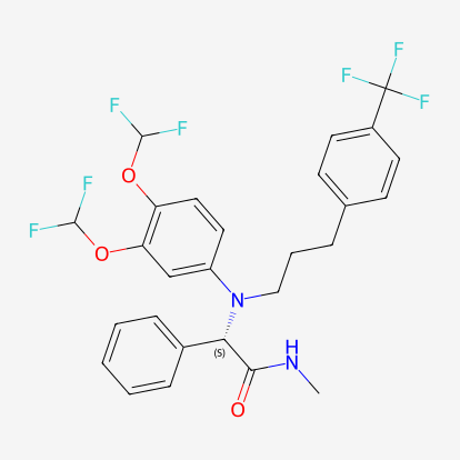 CNC(=O)[C@H](c1ccccc1)N(CCCc1ccc(C(F)(F)F)cc1)c1ccc(OC(F)F)c(OC(F)F)c1